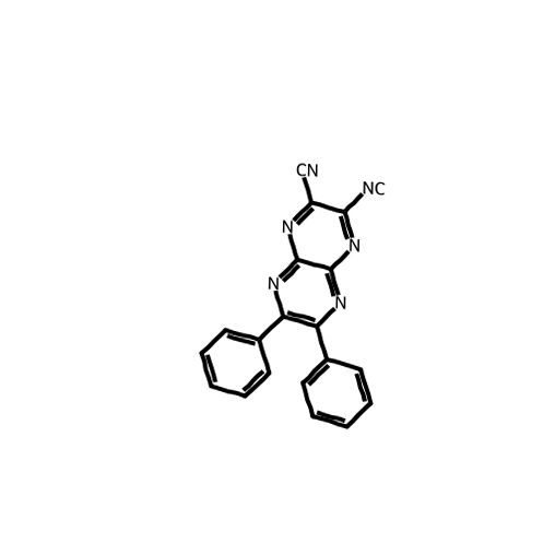 [C-]#[N+]c1nc2nc(-c3ccccc3)c(-c3ccccc3)nc2nc1C#N